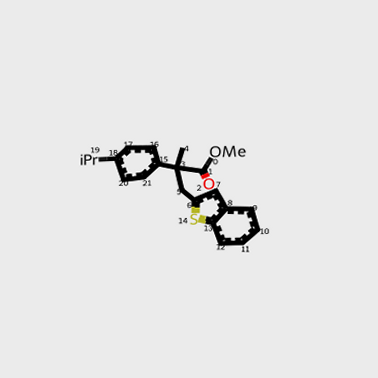 COC(=O)C(C)(Cc1cc2ccccc2s1)c1ccc(C(C)C)cc1